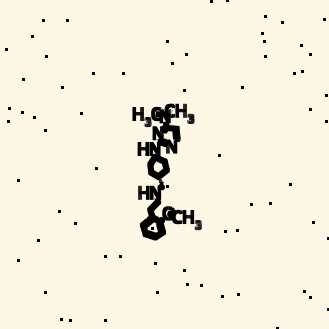 COc1ccccc1CCNC[C@H]1CC[C@@H](Nc2nccc(N(C)C)n2)CC1